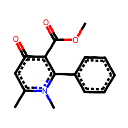 COC(=O)c1c(-c2ccccc2)n(C)c(C)cc1=O